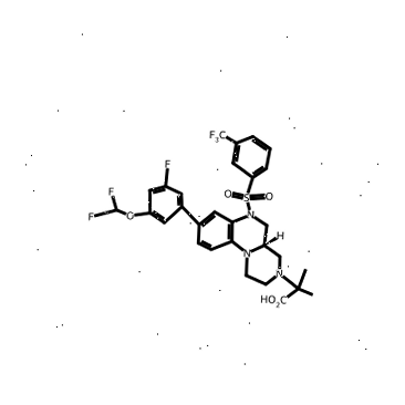 CC(C)(C(=O)O)N1CCN2c3ccc(-c4cc(F)cc(OC(F)F)c4)cc3N(S(=O)(=O)c3cccc(C(F)(F)F)c3)C[C@@H]2C1